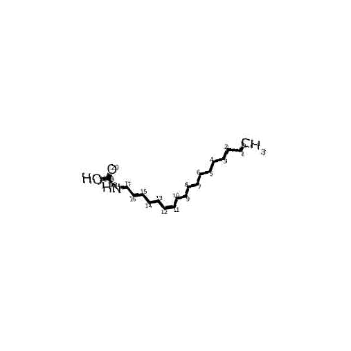 CCCCCCCCCCC/C=C\CCCCCNC(=O)O